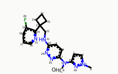 Cn1ccc(N(C=O)c2ccc(NCC3(c4ncccc4F)CCC3)nn2)n1